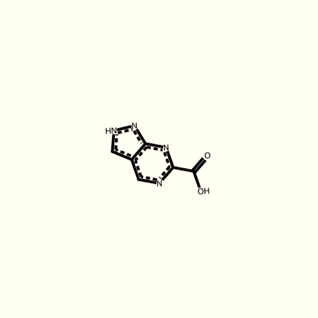 O=C(O)c1ncc2c[nH]nc2n1